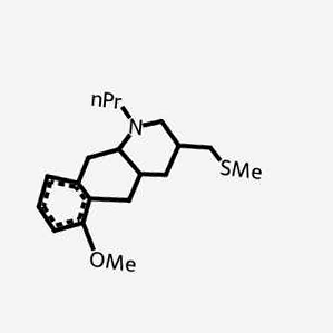 CCCN1CC(CSC)CC2Cc3c(cccc3OC)CC21